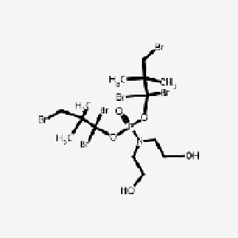 CC(C)(CBr)C(Br)(Br)OP(=O)(OC(Br)(Br)C(C)(C)CBr)N(CCO)CCO